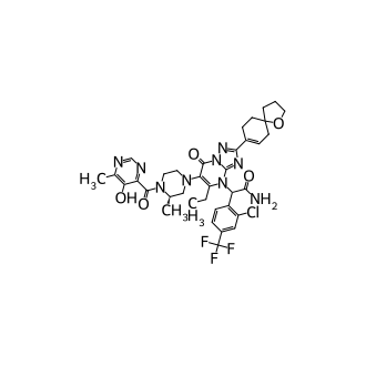 CCc1c(N2CCN(C(=O)c3ncnc(C)c3O)[C@H](C)C2)c(=O)n2nc(C3=CCC4(CCCO4)CC3)nc2n1C(C(N)=O)c1ccc(C(F)(F)F)cc1Cl